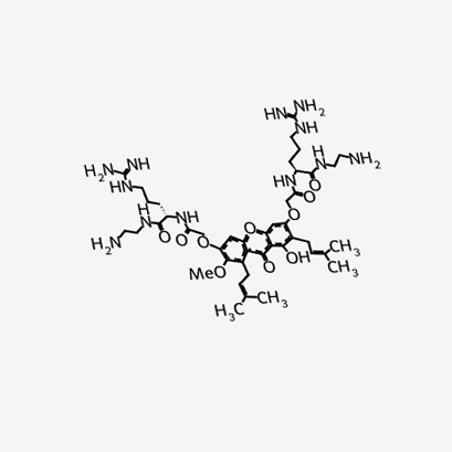 COc1c(OCC(=O)N[C@@H](CCCNC(=N)N)C(=O)NCCN)cc2oc3cc(OCC(=O)N[C@@H](CCCNC(=N)N)C(=O)NCCN)c(CC=C(C)C)c(O)c3c(=O)c2c1CC=C(C)C